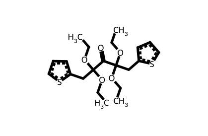 CCOC(Cc1cccs1)(OCC)C(=O)C(Cc1cccs1)(OCC)OCC